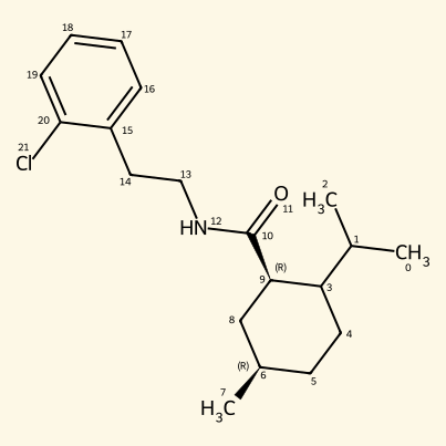 CC(C)C1CC[C@@H](C)C[C@H]1C(=O)NCCc1ccccc1Cl